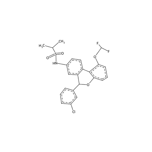 CC(C)S(=O)(=O)Nc1ccc2c(c1)C(c1cccc(Cl)c1)Oc1cccc(OC(F)F)c1-2